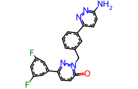 Nc1ccc(-c2cccc(Cn3nc(-c4cc(F)cc(F)c4)ccc3=O)c2)nn1